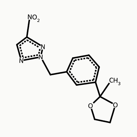 CC1(c2cccc(Cn3ncc([N+](=O)[O-])n3)c2)OCCO1